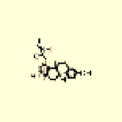 CCNC(=O)C[C@H]1C[C@H](OC)[C@@]2(C)CC[C@@H]3c4ccc(O)cc4CC[C@H]3[C@H]12